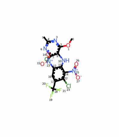 COc1nc(C)nc(Cl)c1Nc1c([N+](=O)[O-])cc(C(F)(F)F)c(Cl)c1[N+](=O)[O-]